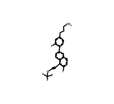 CCCCc1ccc(-c2ccc3c(C#COC(F)(F)F)c(F)ccc3c2)c(F)c1